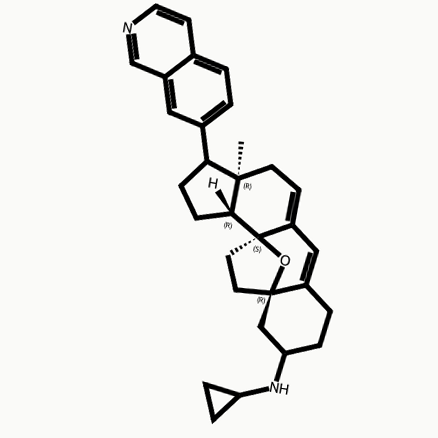 C[C@]12CC=C3C=C4CCC(NC5CC5)C[C@]45CC[C@]3(O5)[C@@H]1CCC2c1ccc2ccncc2c1